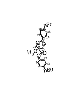 CCCCc1ccc(OC(=O)[C@]2(C)CO[C@H](c3ccc(CCC)cc3)OC2)cc1